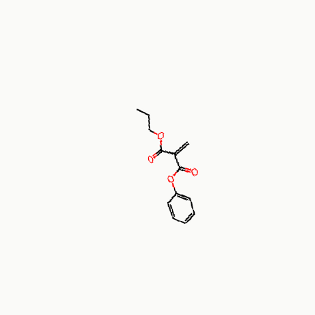 C=C(C(=O)OCCC)C(=O)Oc1ccccc1